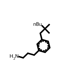 CCCCC(C)(C)Cc1cccc(CCCN)c1